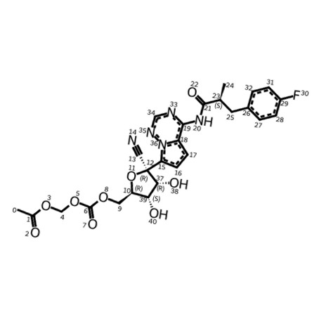 CC(=O)OCOC(=O)OC[C@H]1O[C@@](C#N)(c2ccc3c(NC(=O)[C@@H](C)Cc4ccc(F)cc4)ncnn23)[C@H](O)[C@@H]1O